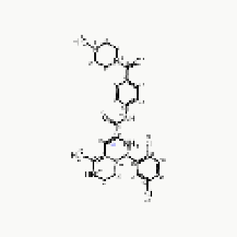 CN1CCN(C(=O)c2ccc(NC(=O)/C(N)=C/C3=C(N)NCCN3Cc3cc(Cl)ccc3Cl)cc2)CC1